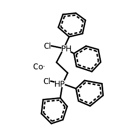 Cl[PH](CC[PH](Cl)(c1ccccc1)c1ccccc1)(c1ccccc1)c1ccccc1.[Co]